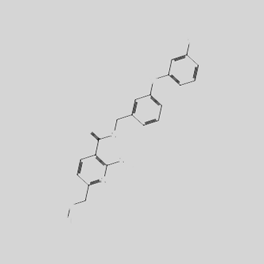 COCc1ccc(C(=O)NCc2cccc(Oc3cccc(Cl)c3)c2)c(N)n1